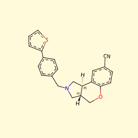 N#Cc1ccc2c(c1)[C@@H]1CN(Cc3ccc(-c4cccs4)cc3)C[C@H]1CO2